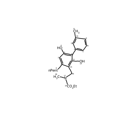 CCCCCc1cc(O)c(-c2cccc(C)c2)c(O)c1CN(C)C(=O)OCC